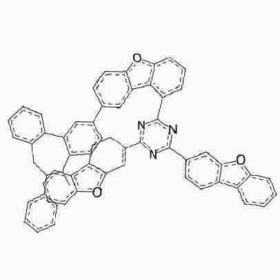 CC1c2ccc(-c3ccc4oc5cccc(-c6nc(C7=Cc8oc9ccccc9c8CC7)nc(-c7ccc8c(c7)oc7ccccc78)n6)c5c4c3)cc2-c2ccccc2CC1c1ccccc1